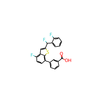 O=C(O)c1cccc(-c2ccc(F)c3cc(C(F)c4ccccc4F)sc23)c1